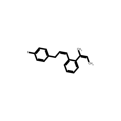 C/C=C(/C)c1ccccc1/C=C\Cc1ccc(F)cc1